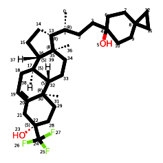 C[C@H](CCC1(O)CCC2(CC1)CC2)[C@H]1CC[C@H]2[C@@H]3CC=C4C[C@](O)(C(F)(F)F)CC[C@]4(C)[C@H]3CC[C@]12C